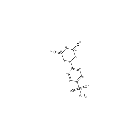 CS(=O)(=O)c1ccc(C2CC(=O)CC(=O)C2)cc1